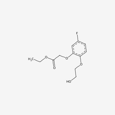 CCOC(=O)COc1cc(F)ccc1OCCO